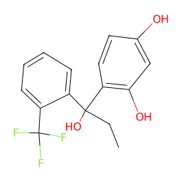 CCC(O)(c1ccc(O)cc1O)c1ccccc1C(F)(F)F